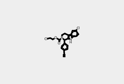 C#Cc1ccc(C2c3[nH]c4ccc(Cl)cc4c3CCN2C(=O)OCCCl)cc1